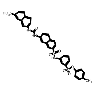 Cc1ccc(OS(=O)(=O)c2cccc(NS(=O)(=O)c3ccc4ccc(NC(=O)Nc5ccc6ccc(S(=O)(=O)O)cc6c5)cc4c3)c2)cc1